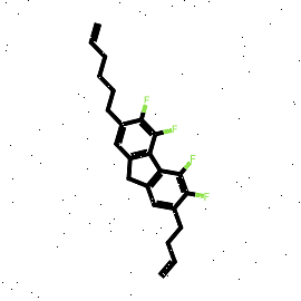 C=CCCCCc1cc2c(c(F)c1F)-c1c(cc(CCC=C)c(F)c1F)C2